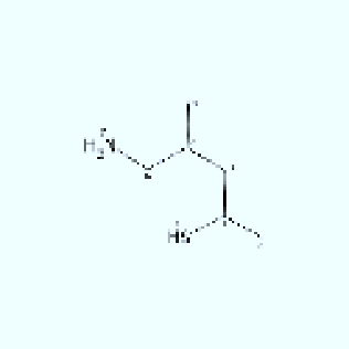 CC(S)CC(C)CN